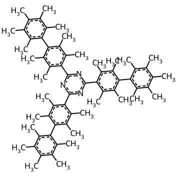 Cc1c(C)c(C)c(-c2c(C)c(C)c(-c3nc(-c4c(C)c(C)c(-c5c(C)c(C)c(C)c(C)c5C)c(C)c4C)nc(-c4c(C)c(C)c(-c5c(C)c(C)c(C)c(C)c5C)c(C)c4C)n3)c(C)c2C)c(C)c1C